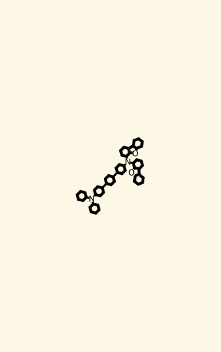 c1ccc(N(c2ccccc2)c2ccc(-c3ccc(-c4ccc(N(c5cccc6c5oc5ccccc56)c5cccc6c5oc5ccccc56)cc4)cc3)cc2)cc1